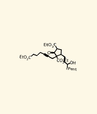 CCCCCC(O)/C=C/C1CC(C(=O)OCC)C(=O)C1(CC#CCCCC(=O)OCC)C(=O)OCC